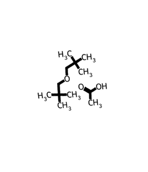 CC(=O)O.CC(C)(C)COCC(C)(C)C